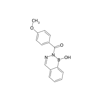 COc1ccc(C(=O)N2N=Cc3ccccc3B2O)cc1